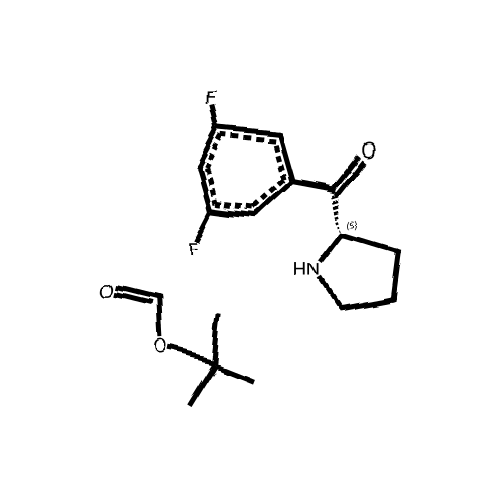 CC(C)(C)OC=O.O=C(c1cc(F)cc(F)c1)[C@@H]1CCCN1